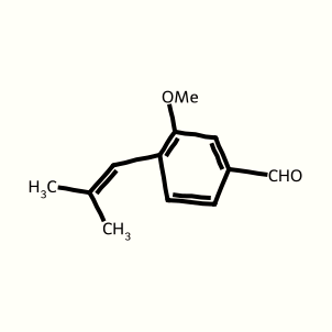 COc1cc(C=O)ccc1C=C(C)C